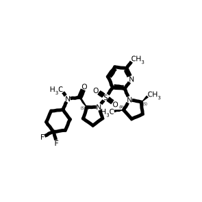 Cc1ccc(S(=O)(=O)N2CCC[C@H]2C(=O)N(C)C2CCC(F)(F)CC2)c(N2[C@H](C)CC[C@@H]2C)n1